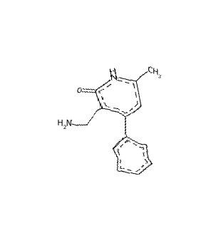 Cc1cc(-c2ccccc2)c(CN)c(=O)[nH]1